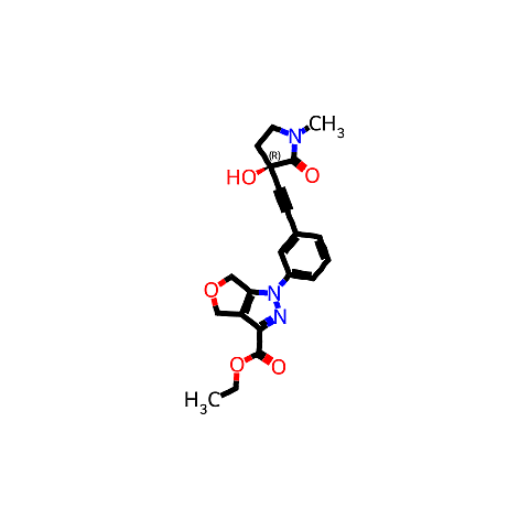 CCOC(=O)c1nn(-c2cccc(C#C[C@]3(O)CCN(C)C3=O)c2)c2c1COC2